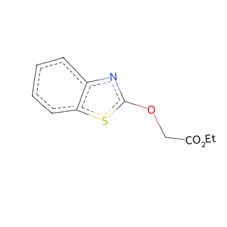 CCOC(=O)COc1nc2ccccc2s1